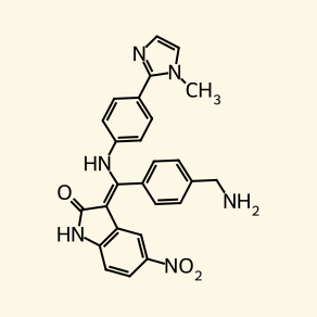 Cn1ccnc1-c1ccc(N/C(=C2\C(=O)Nc3ccc([N+](=O)[O-])cc32)c2ccc(CN)cc2)cc1